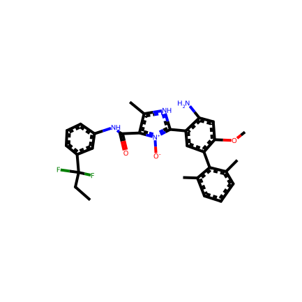 CCC(F)(F)c1cccc(NC(=O)c2c(C)[nH]c(-c3cc(-c4c(C)cccc4C)c(OC)cc3N)[n+]2[O-])c1